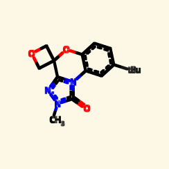 Cn1nc2n(c1=O)-c1cc(C(C)(C)C)ccc1OC21COC1